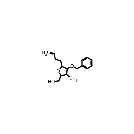 C=CCCC1OC(CO)C(C)C1OCc1ccccc1